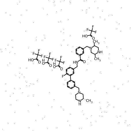 CC1CN(Cc2cccc(C(=O)NCc3ccc(F)c(-c4cccc(CN5CCN[C@@H](C)C5)c4)c3)c2)C(C)CN1.O=C(O)C(F)(F)F.O=C(O)C(F)(F)F.O=C(O)C(F)(F)F.O=C(O)C(F)(F)F